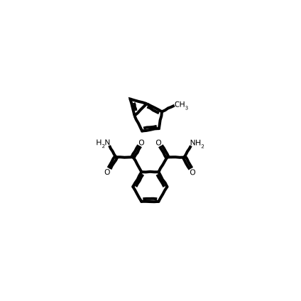 Cc1ccc2cc1-2.NC(=O)C(=O)c1ccccc1C(=O)C(N)=O